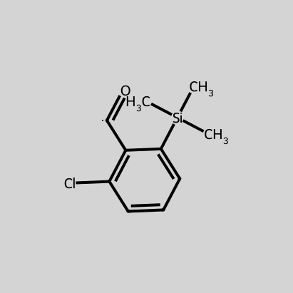 C[Si](C)(C)c1cccc(Cl)c1[C]=O